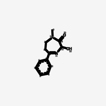 CN1CCC(c2ccccc2)=NC(O)C1=O